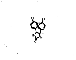 C[C@]1(c2ccc(Cl)nc2)NC(=S)N[C@H]1c1ccc(Cl)cc1